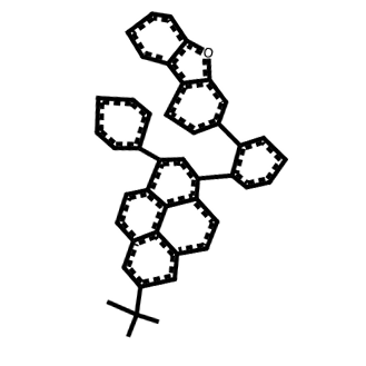 CC(C)(C)c1cc2ccc3c(-c4ccccc4)cc(-c4ccccc4-c4ccc5c(c4)oc4ccccc45)c4ccc(c1)c2c34